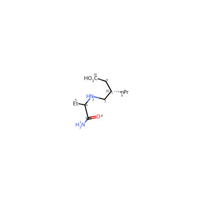 CCC[C@H](CNC(CC)C(N)=O)CC(=O)O